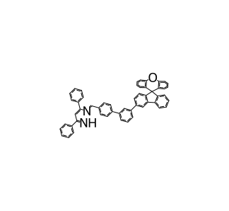 N=C(/C=C(\N=C\c1ccc(-c2cccc(-c3ccc4c(c3)-c3ccccc3C43c4ccccc4Oc4ccccc43)c2)cc1)c1ccccc1)c1ccccc1